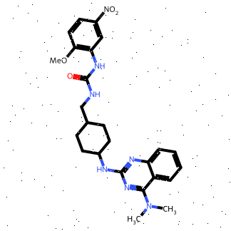 COc1ccc([N+](=O)[O-])cc1NC(=O)NCC1CCC(Nc2nc(N(C)C)c3ccccc3n2)CC1